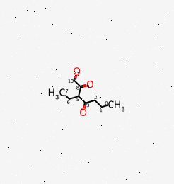 CCCC(=O)C(CC)C(=O)C=O